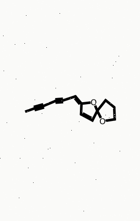 CC#CC#C/C=C1\C=CC2(CCCO2)O1